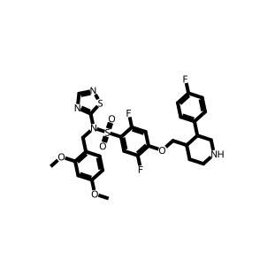 COc1ccc(CN(c2ncns2)S(=O)(=O)c2cc(F)c(OCC3CCNCC3c3ccc(F)cc3)cc2F)c(OC)c1